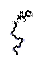 CC/C=C\C/C=C\C/C=C\C/C=C\C/C=C\CCCC(=O)NCC(C)(C)NC(=O)c1cccnc1